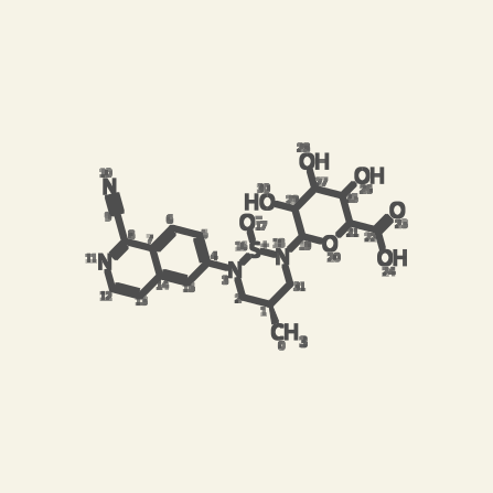 C[C@H]1CN(c2ccc3c(C#N)nccc3c2)[S+]([O-])N(C2OC(C(=O)O)C(O)C(O)C2O)C1